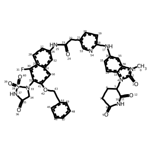 Cn1c(=O)n(C2CCC(=O)NC2=O)c2ccc(Nc3ccc(CC(=O)Nc4ccc5c(F)c(N6CC(=O)NS6(=O)=O)c(OCc6ccccc6)cc5c4)cn3)cc21